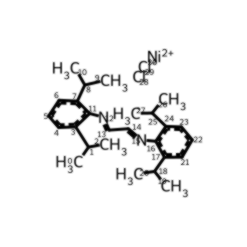 CC(C)c1cccc(C(C)C)c1N=CC=Nc1c(C(C)C)cccc1C(C)C.[Cl-].[Cl-].[Ni+2]